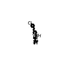 Cc1nc(C)c(-c2csc(Nc3ccc(/C=C/c4ccc(Cl)cc4)cn3)n2)s1